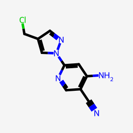 N#Cc1cnc(-n2cc(CCl)cn2)cc1N